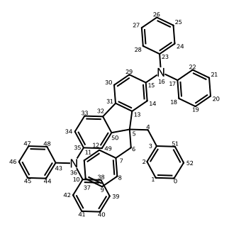 c1ccc(CC2(Cc3ccccc3)c3cc(N(c4ccccc4)c4ccccc4)ccc3-c3ccc(N(c4ccccc4)c4ccccc4)cc32)cc1